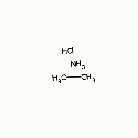 CC.Cl.N